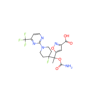 CC(OC(N)=O)(c1cc(C(=O)O)no1)C1(F)CCN(c2nccc(C(F)(F)F)n2)CC1